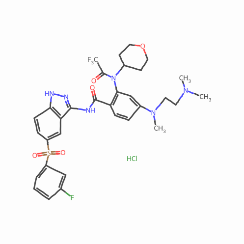 CN(C)CCN(C)c1ccc(C(=O)Nc2n[nH]c3ccc(S(=O)(=O)c4cccc(F)c4)cc23)c(N(C(=O)C(F)(F)F)C2CCOCC2)c1.Cl